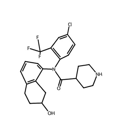 O=C(C1CCNCC1)N(c1ccc(Cl)cc1C(F)(F)F)c1cccc2c1CC(O)CC2